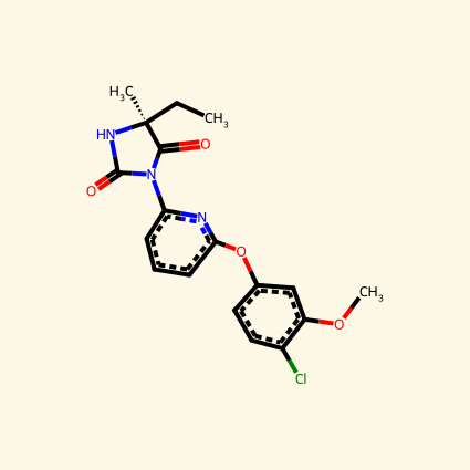 CC[C@]1(C)NC(=O)N(c2cccc(Oc3ccc(Cl)c(OC)c3)n2)C1=O